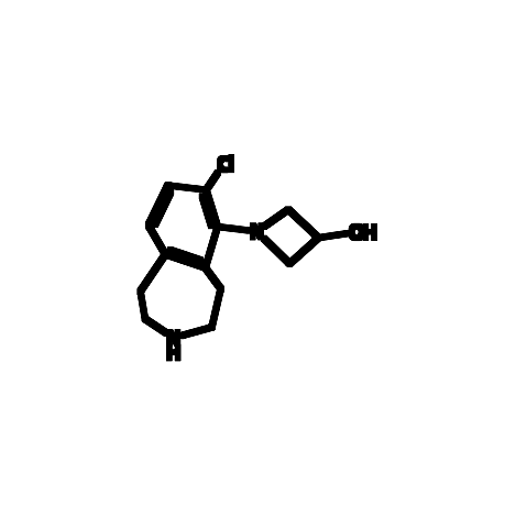 OC1CN(c2c(Cl)ccc3c2CCNCC3)C1